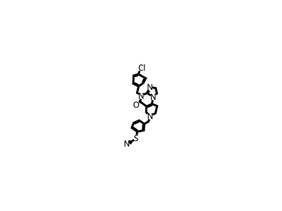 N#CSc1cccc(CN2CCC3=C(C2)C(=O)N(Cc2ccc(Cl)cc2)C2=NCCN23)c1